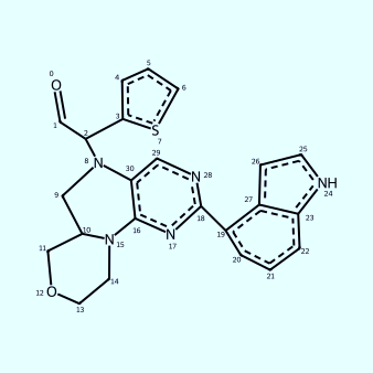 O=CC(c1cccs1)N1CC2COCCN2c2nc(-c3cccc4[nH]ccc34)ncc21